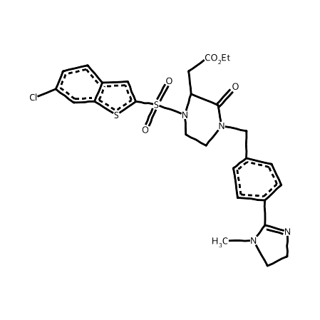 CCOC(=O)CC1C(=O)N(Cc2ccc(C3=NCCN3C)cc2)CCN1S(=O)(=O)c1cc2ccc(Cl)cc2s1